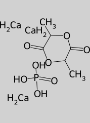 CC1OC(=O)C(C)OC1=O.O=P(O)(O)O.[CaH2].[CaH2].[CaH2]